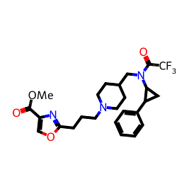 COC(=O)c1coc(CCCN2CCC(CN(C(=O)C(F)(F)F)C3CC3c3ccccc3)CC2)n1